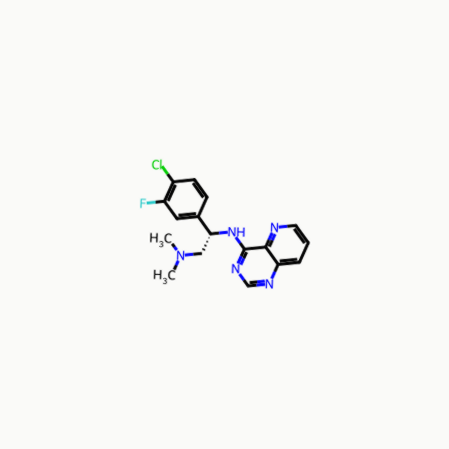 CN(C)C[C@@H](Nc1ncnc2cccnc12)c1ccc(Cl)c(F)c1